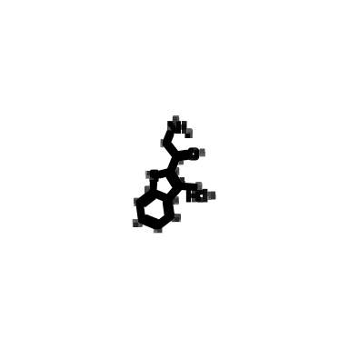 Cc1c(C(=O)CN)sc2ccccc12.Cl